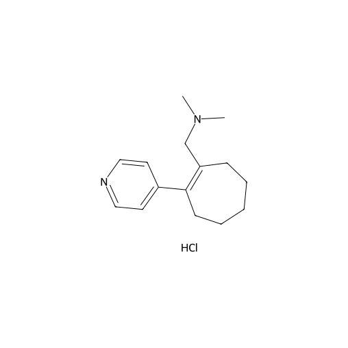 CN(C)CC1=C(c2ccncc2)CCCCC1.Cl